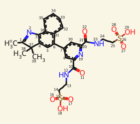 CC1=Nc2c(cc(-c3cc(C(=O)NCCS(=O)(=O)O)nc(C(=O)NCCS(=O)(=O)O)c3)c3ccccc23)C1(C)C